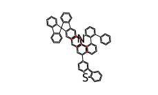 c1ccc(-c2ccccc2-c2c(-c3ccccc3)cccc2N(c2ccc(-c3ccc4sc5ccccc5c4c3)cc2)c2ccc3c(c2)-c2ccccc2C32c3ccccc3-c3ccccc32)cc1